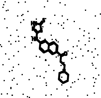 O=C(CCN1CCCCC1)c1ccc2cc(Nc3n[nH]c(=S)s3)ccc2c1